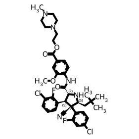 COc1cc(C(=O)OCCN2CCN(C)CC2)ccc1NC(=O)[C@@H]1N[C@@H](CC(C)(C)C)[C@](C#N)(c2ccc(Cl)cc2F)[C@H]1c1cccc(Cl)c1F